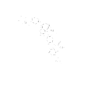 NCc1cccc(N(C(N)=O)c2ccc(-c3csc4c(-c5cccc(CN6CCCC6)c5)cnc(N)c34)cc2)c1